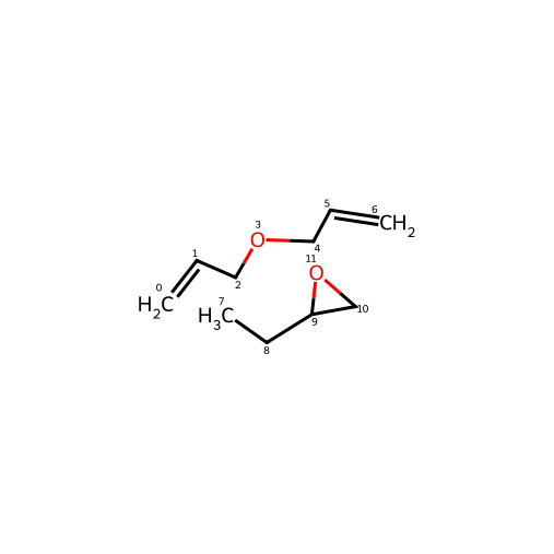 C=CCOCC=C.CCC1CO1